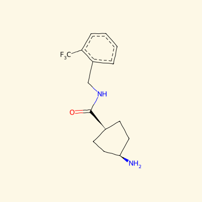 N[C@H]1CC[C@@H](C(=O)NCc2ccccc2C(F)(F)F)CC1